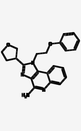 Nc1nc2ccccc2c2c1nc(C1CCOC1)n2CCOc1ccccc1